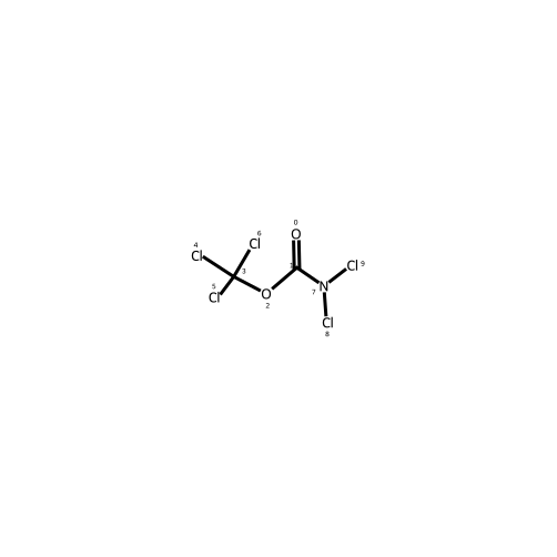 O=C(OC(Cl)(Cl)Cl)N(Cl)Cl